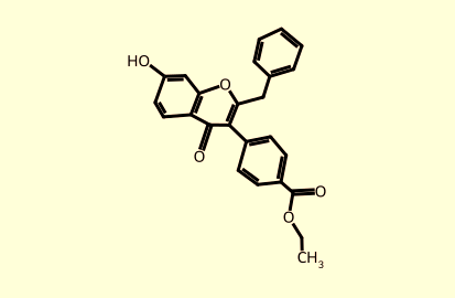 CCOC(=O)c1ccc(-c2c(Cc3ccccc3)oc3cc(O)ccc3c2=O)cc1